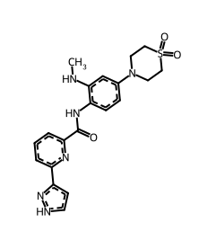 CNc1cc(N2CCS(=O)(=O)CC2)ccc1NC(=O)c1cccc(-c2cc[nH]n2)n1